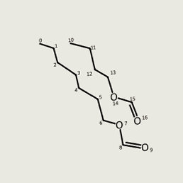 CCCCCCCOC=O.CCCCOC=O